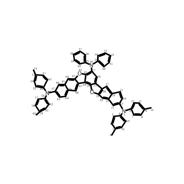 Cc1ccc(N(c2ccc(C)cc2)c2ccc3cc4c(cc3c2)oc2c4cc(N(c3ccccc3)c3ccccc3)c3oc4cc5cc(N(c6ccc(C)cc6)c6ccc(C)cc6)ccc5cc4c32)cc1